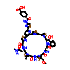 CNC(=O)C[C@@H]1NC(=O)c2csc(n2)-c2ccc(-c3nc(NC(=O)[C@H]4CC[C@@H](C(=O)O)CC4)cs3)nc2-c2csc(n2)-c2csc(n2)[C@H]([C@@H](O)c2ccccc2)NC(=O)CNC(=O)c2nc(sc2COC)NC(=O)c2nc1sc2C